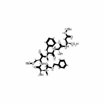 CC[C@H](C)[C@@H](C(=O)N[C@@H](COC(C)(C)C)C(=O)N(C)[C@@H](Cc1ccccc1)C(=O)N(C)[C@H](C(=O)N[C@@H](CC(=O)OC(C)(C)C)C(=O)O)C(C)C)N(C)C(=O)OCc1ccccc1